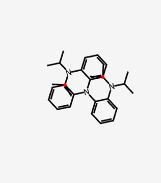 CC(C)N(c1ccccc1N(c1ccccc1)c1ccccc1N(C(C)C)C(C)C)C(C)C